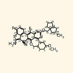 COC1CCC2COc3c(Cl)c(-c4ccc(F)c5sc(N)c(C#N)c45)c(F)c4nc(OCC56CCCN5C[C@H](C)C6)nc(c34)N2C1